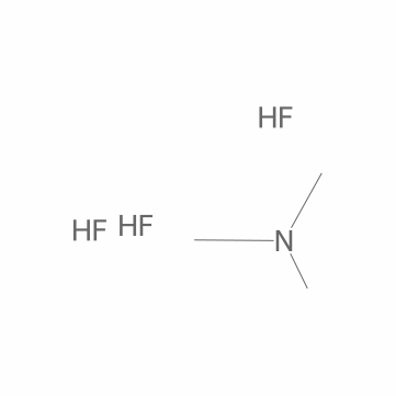 CN(C)C.F.F.F